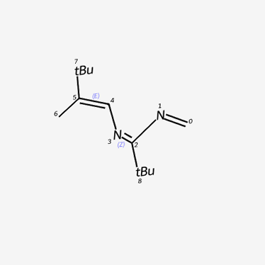 C=N/C(=N\C=C(/C)C(C)(C)C)C(C)(C)C